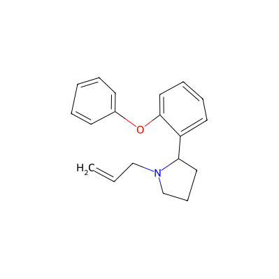 C=CCN1CCCC1c1ccccc1Oc1ccccc1